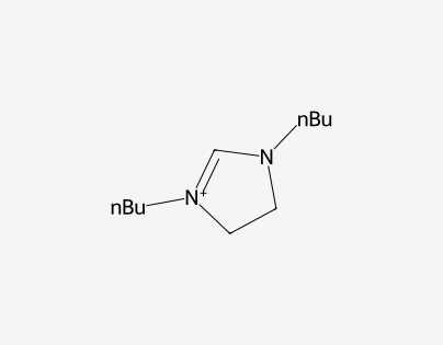 CCCCN1C=[N+](CCCC)CC1